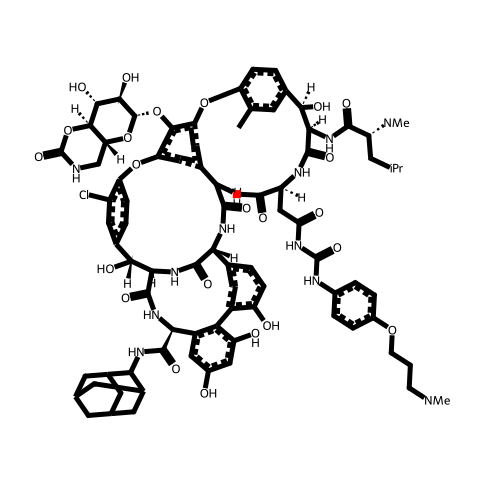 CNCCCOc1ccc(NC(=O)NC(=O)C[C@@H]2NC(=O)[C@H](NC(=O)[C@@H](CC(C)C)NC)[C@H](O)c3ccc(c(C)c3)Oc3cc4cc(c3O[C@@H]3O[C@@H]5CNC(=O)O[C@H]5[C@H](O)[C@H]3O)Oc3ccc(cc3Cl)[C@@H](O)[C@@H]3NC(=O)[C@H](NC(=O)[C@@H]4NC2=O)c2ccc(O)c(c2)-c2c(O)cc(O)cc2[C@@H](C(=O)NC2C4CC5CC(C4)CC2C5)NC3=O)cc1